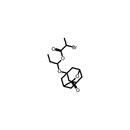 CCC(OC(=O)C(C)Br)OC12CC3CC(C1)OC(=O)C(C3)C2